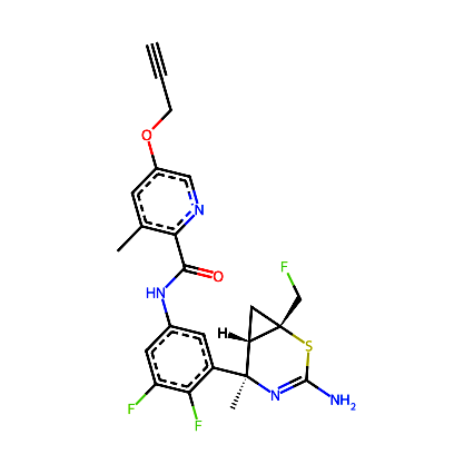 C#CCOc1cnc(C(=O)Nc2cc(F)c(F)c([C@]3(C)N=C(N)S[C@@]4(CF)C[C@H]43)c2)c(C)c1